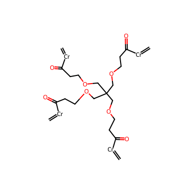 [CH2]=[Cr][C](=O)CCOCC(COCC[C](=O)[Cr]=[CH2])(COCC[C](=O)[Cr]=[CH2])COCC[C](=O)[Cr]=[CH2]